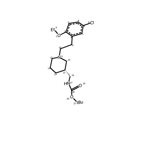 CCOc1ccc(Cl)cc1CCN1CCC[C@@H](CNC(=O)OC(C)(C)C)C1